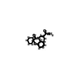 NC(=O)C1=CN2C(=O)C3(CCCCC3)Oc3cccc(c32)C1